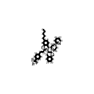 CCCCCc1ccc(CN(C(=O)/C=C/c2ccc(C(F)(F)F)cc2)[C@@H](Cc2ccccc2)C(=O)N2CCN(c3ccccn3)CC2)cc1